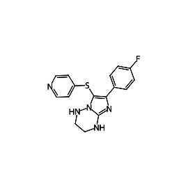 Fc1ccc(-c2nc3n(c2Sc2ccncc2)NCCN3)cc1